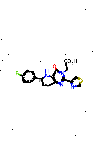 O=C(O)Cn1c(-c2cscn2)nc2c(c1=O)N[C@H](c1ccc(F)cc1)CC2